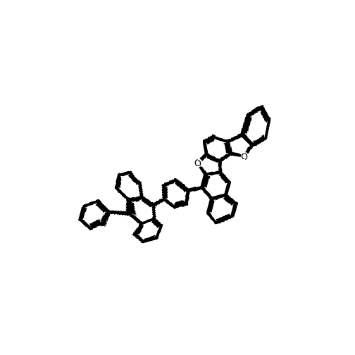 c1ccc(-c2c3ccccc3c(-c3ccc(-c4c5ccccc5cc5c4oc4ccc6c7ccccc7oc6c45)cc3)c3ccccc23)cc1